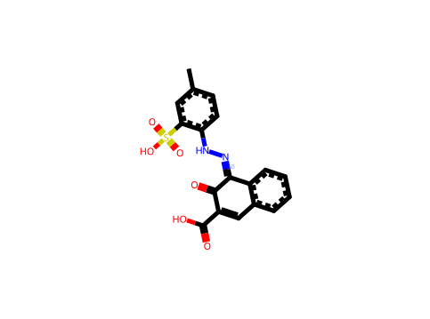 Cc1ccc(N/N=C2\C(=O)C(C(=O)O)=Cc3ccccc32)c(S(=O)(=O)O)c1